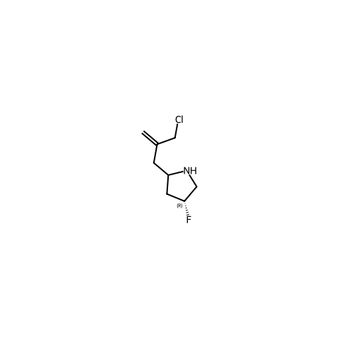 C=C(CCl)CC1C[C@@H](F)CN1